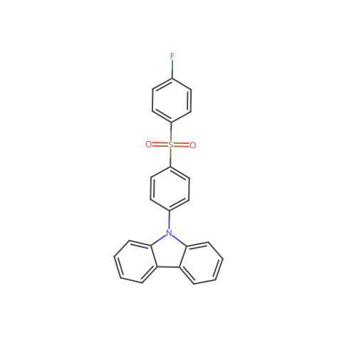 O=S(=O)(c1ccc(F)cc1)c1ccc(-n2c3ccccc3c3ccccc32)cc1